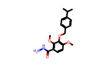 COc1ccc(C(=O)NN)c(OC)c1OCc1ccc(C(C)C)cc1